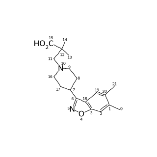 Cc1cc2onc(C3CCN(CC(C)(C)C(=O)O)CC3)c2cc1C